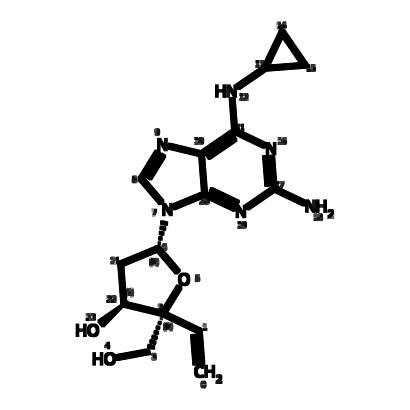 C=C[C@]1(CO)O[C@@H](n2cnc3c(NC4CC4)nc(N)nc32)C[C@@H]1O